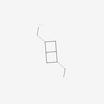 CCC1CC2C(CN)CC12